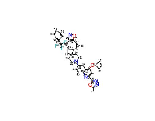 Cc1nnc(-c2cc(OC3CCC3)c3cc(N4CCC5(CC4)CC(Cc4c(-c6ccccc6C(F)(F)F)noc4C4CC4)C5)ccc3n2)o1